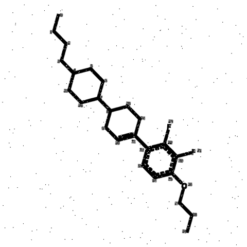 CCCCC1CCC(C2CC=C(c3ccc(OCCC)c(F)c3F)CC2)CC1